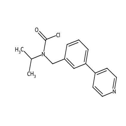 CC(C)N(Cc1cccc(-c2ccncc2)c1)C(=O)Cl